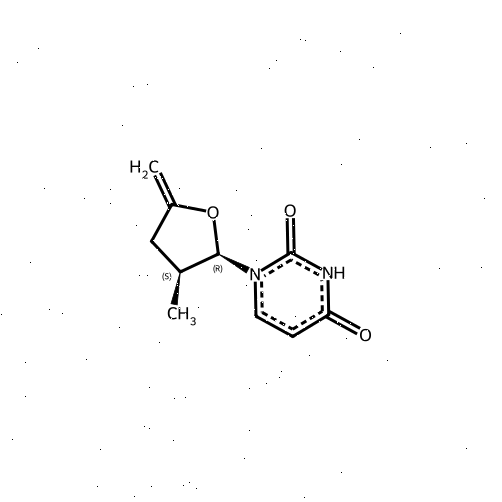 C=C1C[C@H](C)[C@H](n2ccc(=O)[nH]c2=O)O1